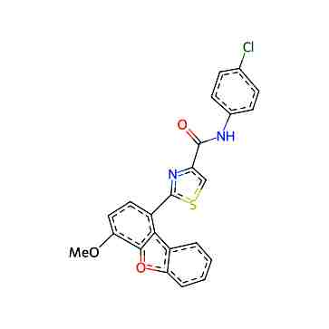 COc1ccc(-c2nc(C(=O)Nc3ccc(Cl)cc3)cs2)c2c1oc1ccccc12